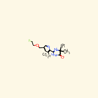 CC(C)C1(C)N=C(c2ncc(COCCF)cc2C(=O)O)NC1=O